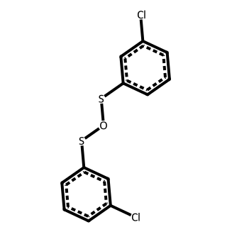 Clc1cccc(SOSc2cccc(Cl)c2)c1